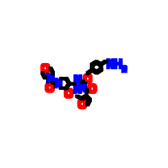 Cc1occc1C(=O)n1nc(C2CCN(C(=O)N3CCOCC3)CC2=O)nc1OCc1ccc(CN)cc1